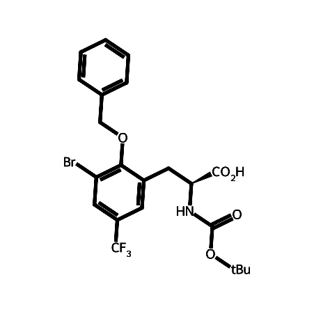 CC(C)(C)OC(=O)N[C@@H](Cc1cc(C(F)(F)F)cc(Br)c1OCc1ccccc1)C(=O)O